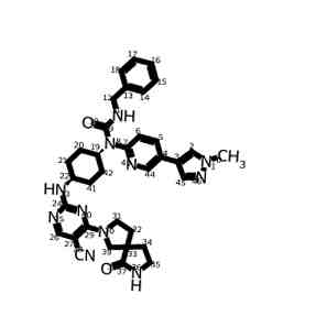 Cn1cc(-c2ccc(N(C(=O)NCc3ccccc3)[C@H]3CC[C@H](Nc4ncc(C#N)c(N5CCC6(CCNC6=O)C5)n4)CC3)nc2)cn1